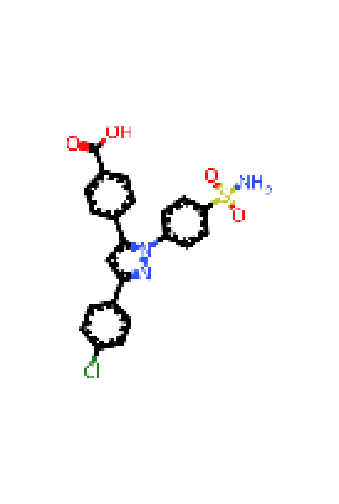 NS(=O)(=O)c1ccc(-n2nc(-c3ccc(Cl)cc3)cc2-c2ccc(C(=O)O)cc2)cc1